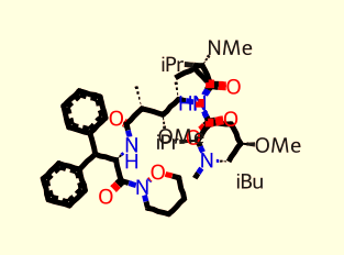 CC[C@H](C)[C@@H]([C@@H](CC(=O)N1CCC[C@H]1[C@H](OC)[C@@H](C)C(=O)N[C@H](C(=O)N1CCCCO1)C(c1ccccc1)c1ccccc1)OC)N(C)[C@H](C(=O)NC(=O)[C@@H](NC)C(C)C)C(C)C